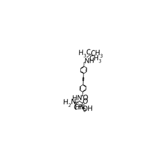 C[C@@H](N)C(NC(=O)c1ccc(C#Cc2ccc(CNCC(C)(C)C)cc2)cc1)C(=O)NO